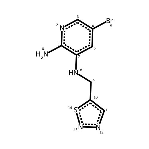 Nc1ncc(Br)cc1NCc1cnns1